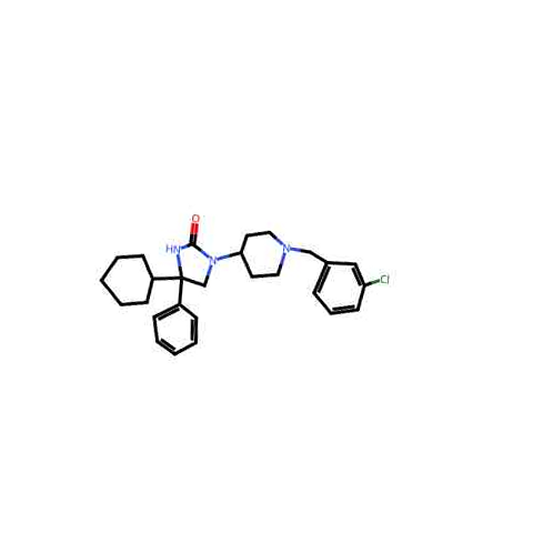 O=C1NC(c2ccccc2)(C2CCCCC2)CN1C1CCN(Cc2cccc(Cl)c2)CC1